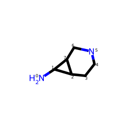 NC1C2CC[N]CC12